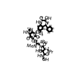 CNC(=O)[C@@H](NC(=O)[C@H](CC(C)C)[C@H](O)C(=O)NO)C(C)(C)C.Cn1c(=O)c2[nH]cnc2n(C)c1=O.O=C1Nc2ccc(Cl)cc2C(c2ccccc2)=NC1O